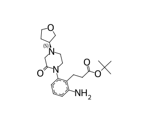 CC(C)(C)OC(=O)CCc1c(N)cccc1N1CCN([C@H]2CCOC2)CC1=O